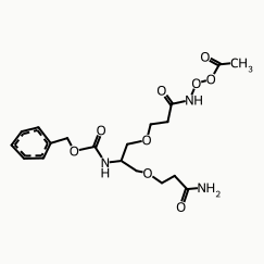 CC(=O)OONC(=O)CCOCC(COCCC(N)=O)NC(=O)OCc1ccccc1